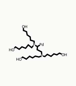 OCCCCCCP(CCCCCCO)CC[CH]([Pd])P(CCCCCCO)CCCCCCO